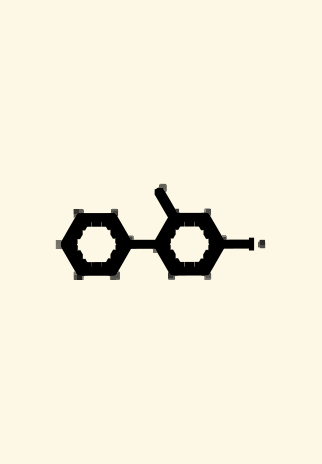 Cc1cc(I)ccc1-c1ccccc1